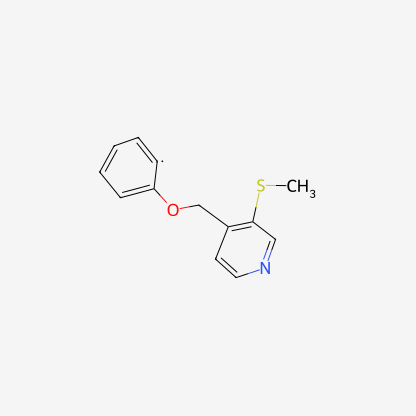 CSc1cnccc1COc1[c]cccc1